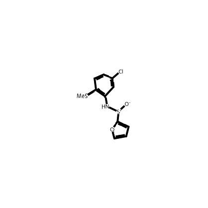 CSc1ccc(Cl)cc1N[S+]([O-])c1ccco1